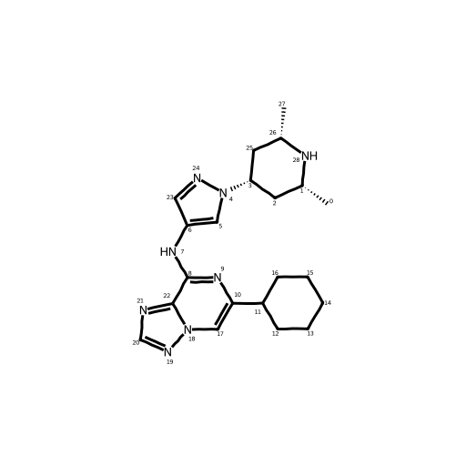 C[C@@H]1C[C@H](n2cc(Nc3nc(C4CCCCC4)cn4ncnc34)cn2)C[C@H](C)N1